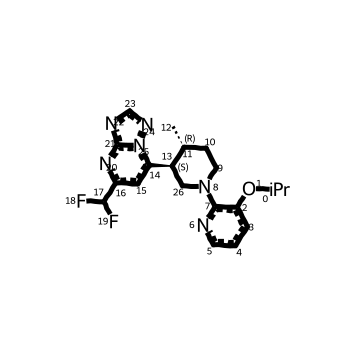 CC(C)Oc1cccnc1N1CC[C@@H](C)[C@H](c2cc(C(F)F)nc3ncnn23)C1